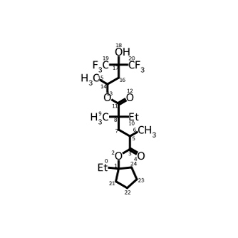 CCC1(OC(=O)C(C)CC(C)(CC)C(=O)OC(C)CC(O)(C(F)(F)F)C(F)(F)F)CCCC1